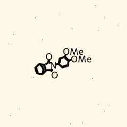 COc1ccc(N2C(=O)C3C4C=CC(CC4)C3C2=O)cc1OC